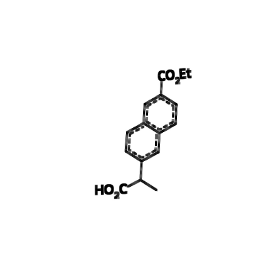 CCOC(=O)c1ccc2cc(C(C)C(=O)O)ccc2c1